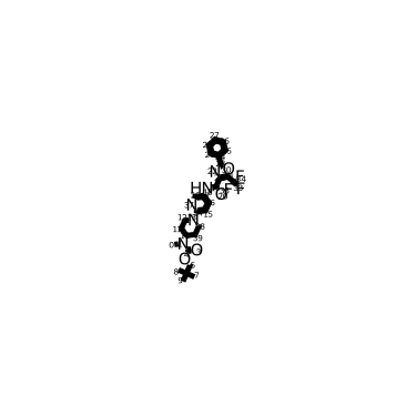 CN(C(=O)OCC(C)(C)C)C1CCN(c2ccc(NC(=O)c3nc(-c4ccccc4)oc3C(F)(F)F)cn2)CC1